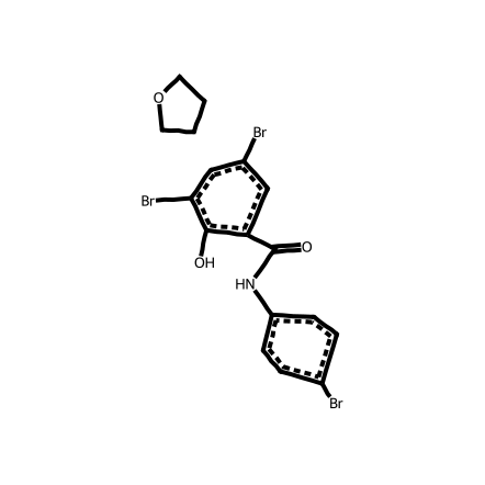 C1CCOC1.O=C(Nc1ccc(Br)cc1)c1cc(Br)cc(Br)c1O